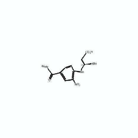 CNC(=O)c1ccc(N[C@@H](CC(=O)O)C(C)(C)C)c([N+](=O)[O-])c1